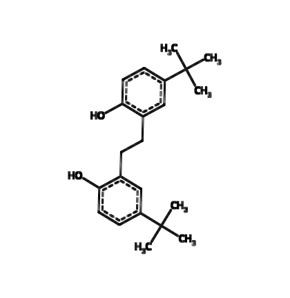 CC(C)(C)c1ccc(O)c(CCc2cc(C(C)(C)C)ccc2O)c1